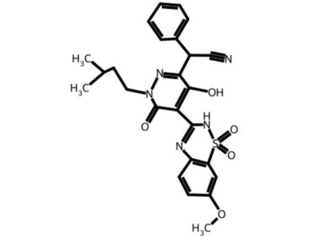 COc1ccc2c(c1)S(=O)(=O)NC(c1c(O)c(C(C#N)c3ccccc3)nn(CCC(C)C)c1=O)=N2